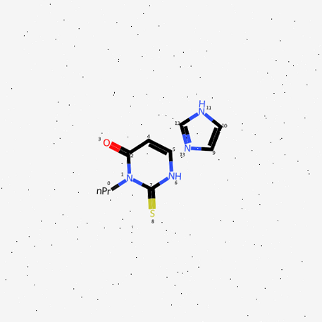 CCCn1c(=O)cc[nH]c1=S.c1c[nH]cn1